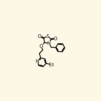 CCc1ccnc(CCOC2C(=O)SC(=O)N2Cc2ccccc2)c1